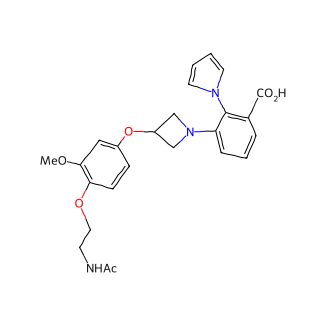 COc1cc(OC2CN(c3cccc(C(=O)O)c3-n3cccc3)C2)ccc1OCCNC(C)=O